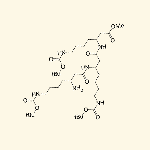 COC(=O)CC(CCCCNC(=O)OC(C)(C)C)NC(=O)CC(CCCCNC(=O)OC(C)(C)C)NC(=O)CC(N)CCCCNC(=O)OC(C)(C)C